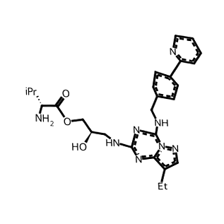 CCc1cnn2c(NCc3ccc(-c4ccccn4)cc3)nc(NC[C@@H](O)COC(=O)[C@H](N)C(C)C)nc12